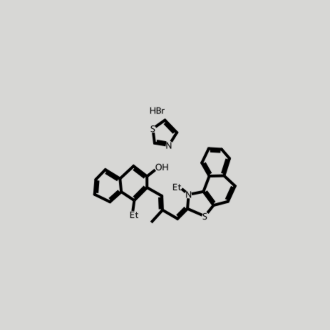 Br.CCc1c(C=C(C)C=C2Sc3ccc4ccccc4c3N2CC)c(O)cc2ccccc12.c1cscn1